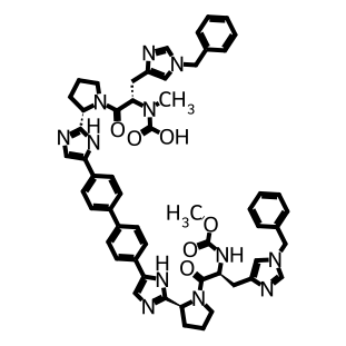 COC(=O)N[C@@H](Cc1cn(Cc2ccccc2)cn1)C(=O)N1CCC[C@H]1c1ncc(-c2ccc(-c3ccc(-c4cnc([C@@H]5CCCN5C(=O)[C@H](Cc5cn(Cc6ccccc6)cn5)N(C)C(=O)O)[nH]4)cc3)cc2)[nH]1